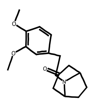 COc1ccc(CCN2C3CCC2CC(=O)C3)cc1OC